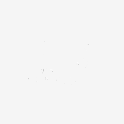 c1ccc(-c2ccc(-c3nc(-c4ccccc4)nc(-c4ccc5sc6ccc(-c7ccc(-c8ccccn8)cn7)cc6c5c4)n3)cc2)cc1